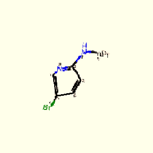 CCCNc1ccc(Br)cn1